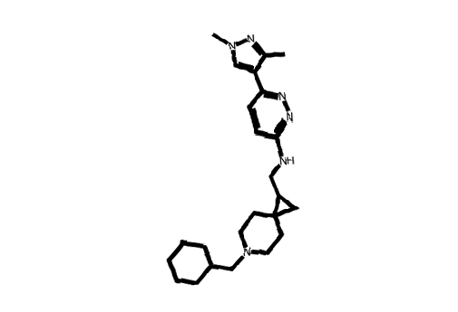 Cc1nn(C)cc1-c1ccc(NCC2CC23CCN(CC2CCCCC2)CC3)nn1